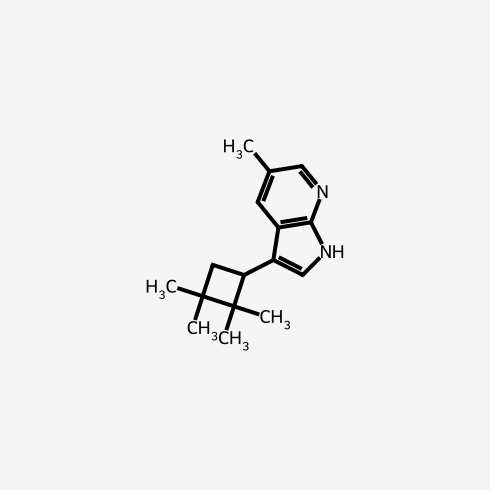 Cc1cnc2[nH]cc(C3CC(C)(C)C3(C)C)c2c1